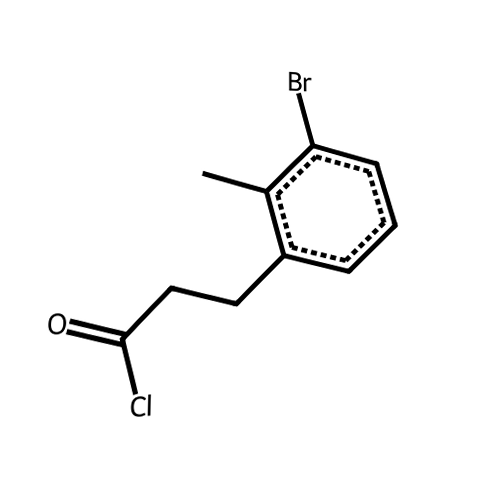 Cc1c(Br)cccc1CCC(=O)Cl